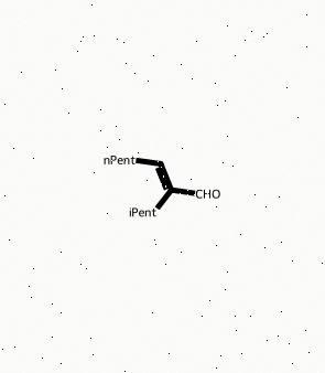 CCCCCC=C(C=O)C(C)CCC